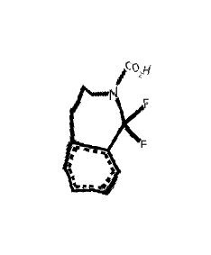 O=C(O)N1CCc2ccccc2C1(F)F